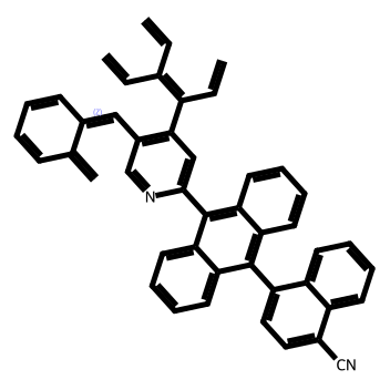 C=CC(C=C)=C(C=C)c1cc(-c2c3ccccc3c(-c3ccc(C#N)c4ccccc34)c3ccccc23)ncc1/C=c1/ccccc1=C